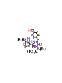 CC[C@H](C)[C@H](NC(=O)[C@H](Cc1ccc(O)cc1)NC(=O)[C@@H](NC(=O)OC(C)(C)C)C(C)C)C(=O)O